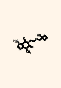 Cn1cnc2c1c(=O)n(CCOCC1(O)CCC1)c(=O)n2C